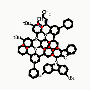 C=C/C=C(\C=C/C)c1cc(-c2ccccc2)cc(-c2ccccc2)c1N1c2ccc(C(C)(C)C)cc2B2c3cc(C(C)(C)C)ccc3N(c3c(-c4ccccc4)cc(-c4ccccc4)cc3-c3ccccc3)c3cc(-c4cc(-n5c6ccc(C(C)(C)C)cc6c6cc(C(C)(C)C)ccc65)c5oc6ccccc6c5c4)cc1c32